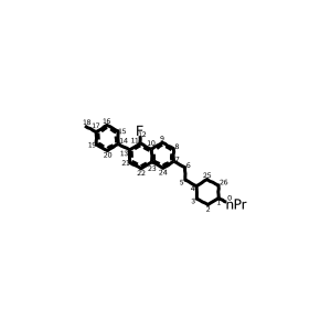 CCCC1CCC(CCc2ccc3c(F)c(-c4ccc(C)cc4)ccc3c2)CC1